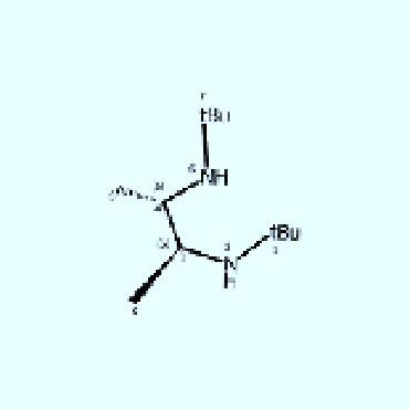 C[C@H](NC(C)(C)C)[C@H](C)NC(C)(C)C